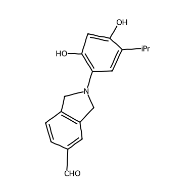 CC(C)c1cc(N2Cc3ccc(C=O)cc3C2)c(O)cc1O